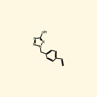 C=Cc1ccc(Cn2nnc(CCC)n2)cc1